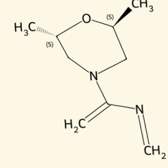 C=NC(=C)N1C[C@H](C)O[C@@H](C)C1